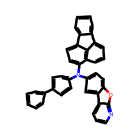 c1ccc(-c2ccc(N(c3ccc4oc5ncccc5c4c3)c3ccc4c5c(cccc35)-c3ccccc3-4)cc2)cc1